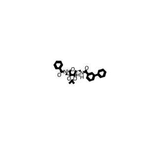 CC1(C)O[C@@H]2[C@@H](CNC(=O)c3cccc(-c4ccccc4)c3)OC[C@]2(CNC(=O)c2ccccc2)O1